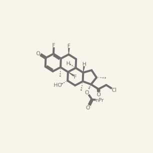 CCCC(=O)O[C@@]1(C(=O)CCl)[C@@H](C)C[C@H]2[C@@H]3C[C@H](F)C4=C(F)C(=O)C=C[C@]4(C)[C@@]3(F)[C@@H](O)C[C@@]21C